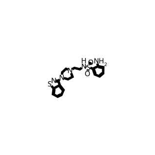 Nc1ccccc1S(=O)(=O)NCCN1CCN(c2nsc3ccccc23)CC1